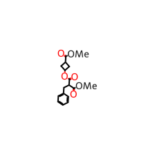 COC(=O)C1CC(OC(=O)C(Cc2ccccc2)C(=O)OC)C1